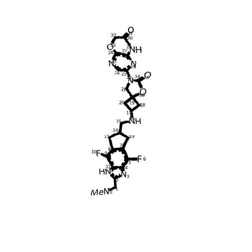 CNCc1nc2c(F)c3c(c(F)c2[nH]1)CC(CNC1CC2(C1)CN(c1cnc4c(n1)NC(=O)CO4)C(=O)O2)C3